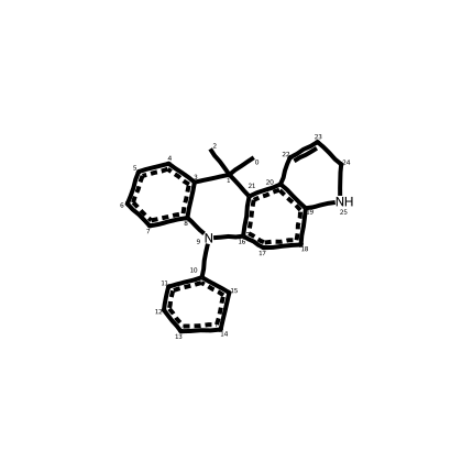 CC1(C)c2ccccc2N(c2ccccc2)c2ccc3c(c21)C=CCN3